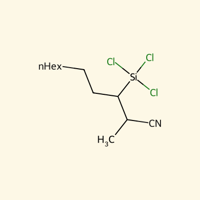 CCCCCCCCC(C(C)C#N)[Si](Cl)(Cl)Cl